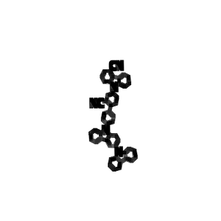 N#Cc1cc(-n2c3ccccc3c3c(C#N)cccc32)ccc1-c1ccc(-n2c3ccccc3c3cc(-n4c5ccccc5c5ccccc54)ccc32)cc1